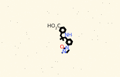 CN1CCN(c2cccc(C3Nc4ccc(C(=O)O)cc4CC3(C)C)c2)C1=O